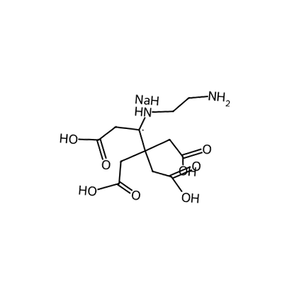 NCCN[C](CC(=O)O)C(CC(=O)O)(CC(=O)O)CC(=O)O.[NaH]